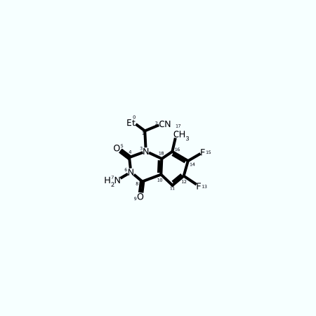 CCC(C#N)n1c(=O)n(N)c(=O)c2cc(F)c(F)c(C)c21